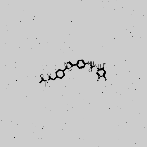 CC(=O)NC(=O)CC1CCC(c2ncc(-c3ccc(NC(=O)Nc4cc(F)c(F)cc4F)cc3)s2)CC1